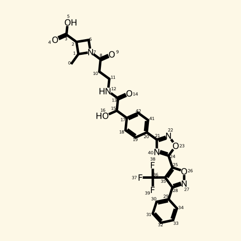 CC1C(C(=O)O)CN1C(=O)CCNC(=O)C(O)c1ccc(-c2noc(-c3onc(-c4ccccc4)c3C(F)(F)F)n2)cc1